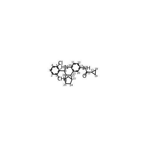 Cc1cccc(Cl)c1C1Nc2ccc(NC(=O)C3CC3)cc2C2C3CCC(C3)C12